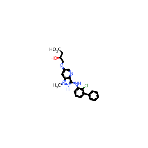 Cn1[nH]c(Nc2cccc(-c3ccccc3)c2Cl)c2ncc(=NCC(O)CC(=O)O)cc1-2